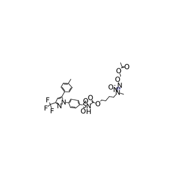 CC(=O)OCO/N=[N+](\[O-])N(C)CCCCOC(=O)NS(=O)(=O)c1ccc(-n2nc(C(F)(F)F)cc2-c2ccc(C)cc2)cc1